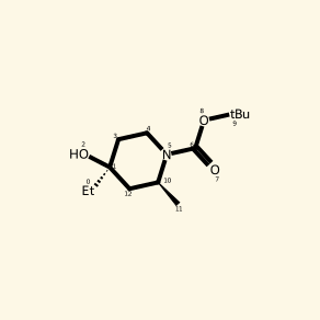 CC[C@]1(O)CCN(C(=O)OC(C)(C)C)[C@@H](C)C1